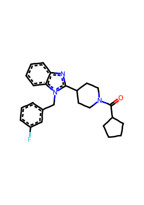 O=C(C1CCCC1)N1CCC(c2nc3ccccc3n2Cc2cccc(F)c2)CC1